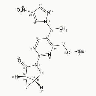 CC(c1cnc(N2C[C@@H]3C[C@@H]3C2=O)nc1COC(C)(C)C)n1cc([N+](=O)[O-])cn1